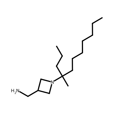 CCCCCCCC(C)(CCC)N1CC(CN)C1